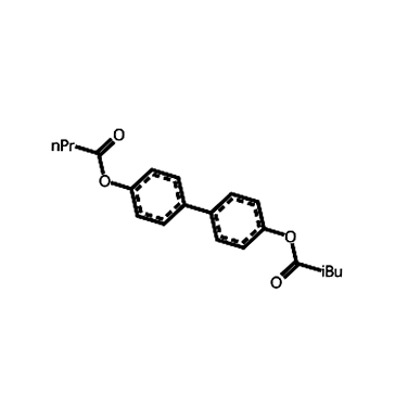 CCCC(=O)Oc1ccc(-c2ccc(OC(=O)C(C)CC)cc2)cc1